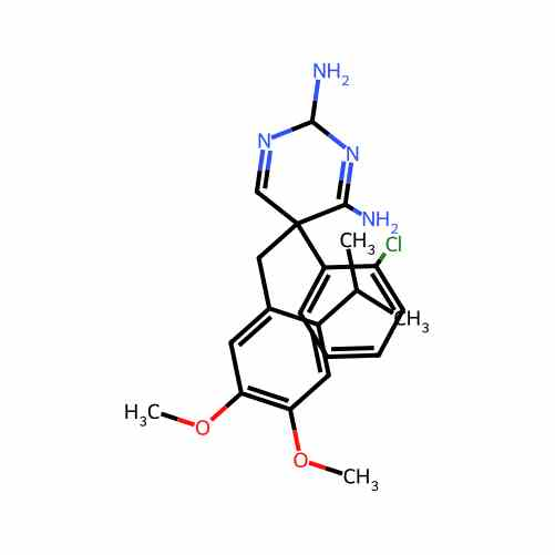 COc1cc(CC2(c3ccccc3Cl)C=NC(N)N=C2N)c(C(C)C)cc1OC